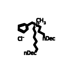 CCCCCCCCCCCCCCCC[N+](C)(CCCCCCCCCCCCC)Cc1ccccc1.[Cl-]